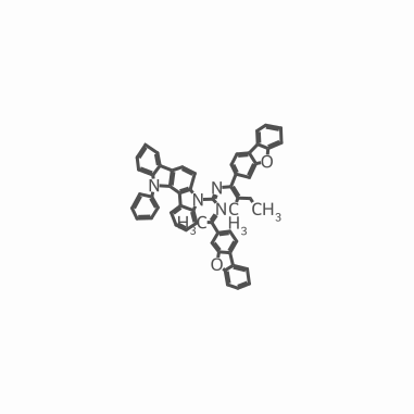 CC/C(C)=C(/N=C(\N=C(/C)c1ccc2c(c1)oc1ccccc12)n1c2ccccc2c2c1ccc1c3ccccc3n(-c3ccccc3)c12)c1ccc2c(c1)oc1ccccc12